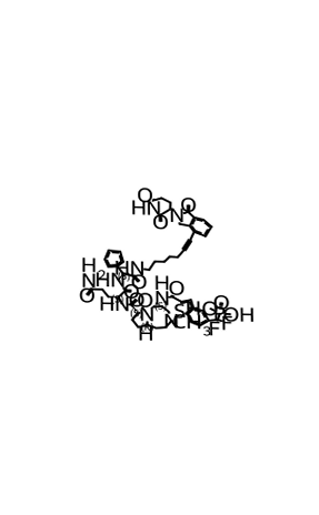 CN1CC[C@H]2CC[C@@H](C(=O)N[C@@H](CCC(N)=O)C(=O)N[C@H](C(=O)NCCCCCC#Cc3cccc4c3CN(C3CCC(=O)NC3=O)C4=O)c3ccccc3)N2C(=O)[C@@H](NC(=O)c2cc3cc(C(F)(F)P(=O)(O)O)ccc3s2)C1